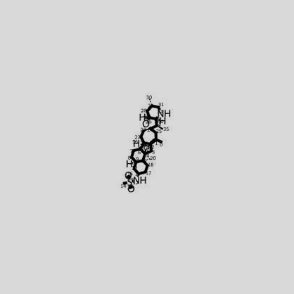 CC1=C2C[C@@]3(C)[C@@H](CC[C@@H]4C[C@H](NS(C)(=O)=O)CC[C@@]43C)[C@@H]2CC[C@@]2(C1)O[C@@H]1C[C@H](C)CN[C@H]1[C@H]2C